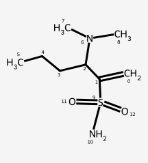 C=C(C(CCC)N(C)C)S(N)(=O)=O